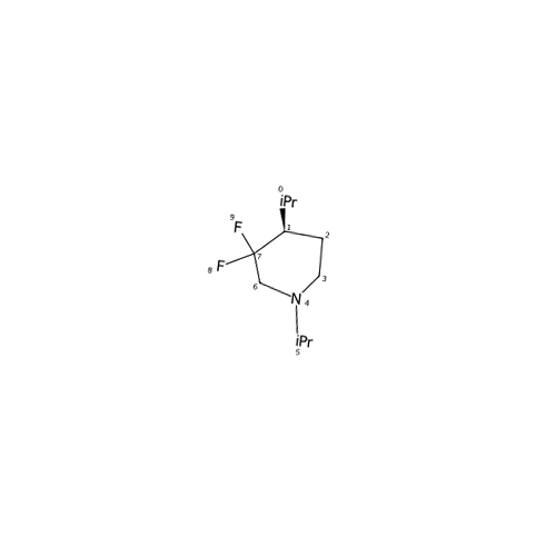 CC(C)[C@H]1CCN(C(C)C)CC1(F)F